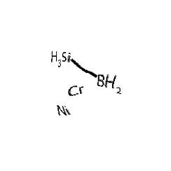 B[SiH3].[Cr].[Ni]